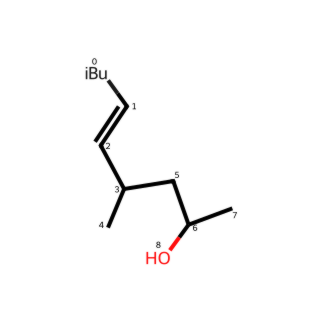 CCC(C)C=CC(C)CC(C)O